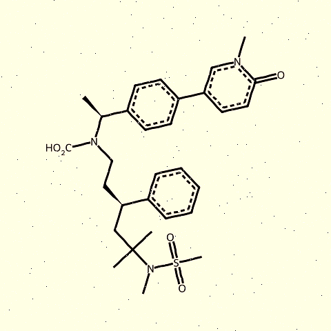 C[C@@H](c1ccc(-c2ccc(=O)n(C)c2)cc1)N(CC[C@H](CC(C)(C)N(C)S(C)(=O)=O)c1ccccc1)C(=O)O